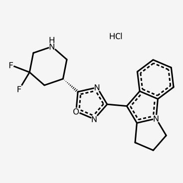 Cl.FC1(F)CNC[C@H](c2nc(-c3c4n(c5ccccc35)CCC4)no2)C1